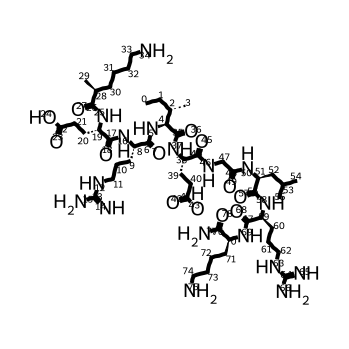 CC[C@H](C)[C@H](NC(=O)[C@H](CCCNC(=N)N)NC(=O)[C@H](CCC(=O)O)NC(=O)[C@@H](C)CCCCN)C(=O)N[C@@H](CCC(=O)O)C(=O)NCC(=O)N[C@@H](CC(C)C)C(=O)N[C@@H](CCCNC(=N)N)C(=O)N[C@@H](CCCCN)C(N)=O